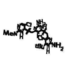 CNC1=NC=C(Cl)C(C(C)(C)CC2=C(F)C(C(C)(C)CC3=C(Cl)C(C(C)(C)C)NC(N)=N3)NC(N)=N2)N1